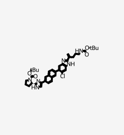 C=C(CCCNC(=O)OC(C)(C)C)c1nc2cc(-c3ccc4cc(-c5c[nH]c([C@@H]6CCCN6C(=O)OC(C)(C)C)n5)ccc4c3)c(Cl)cc2[nH]1